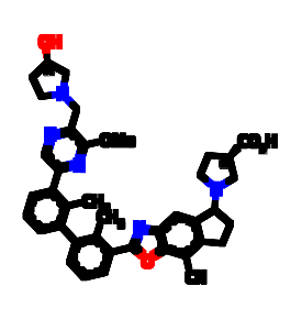 COc1nc(-c2cccc(-c3cccc(-c4nc5cc6c(c(C#N)c5o4)CCC6N4CC[C@@H](C(=O)O)C4)c3C)c2C)cnc1CN1CC[C@@H](O)C1